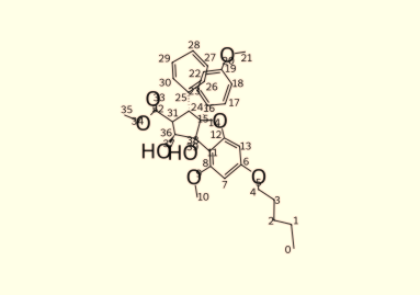 CCCCCOc1cc(OC)c2c(c1)O[C@]1(c3ccc(OC)cc3)[C@@H](c3ccccc3)C(C(=O)OC)[C@H](O)[C@]21O